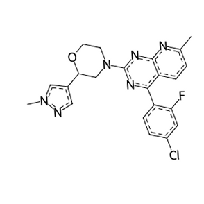 Cc1ccc2c(-c3ccc(Cl)cc3F)nc(N3CCOC(c4cnn(C)c4)C3)nc2n1